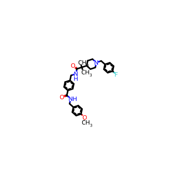 COc1ccc(CNC(=O)c2ccc(CNC(=O)C(C)(C)C3CCN(Cc4ccc(F)cc4)CC3)cc2)cc1